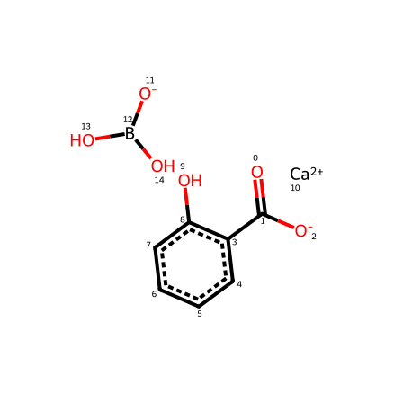 O=C([O-])c1ccccc1O.[Ca+2].[O-]B(O)O